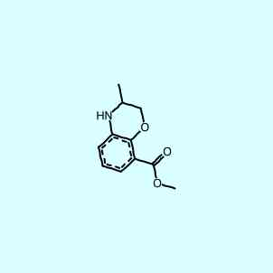 COC(=O)c1cccc2c1OCC(C)N2